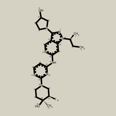 CC[C@H](C)n1nc(N2CCC(O)C2)c2cnc(Nc3ccnc(N4CC[C@](C)(O)[C@H](F)C4)n3)cc21